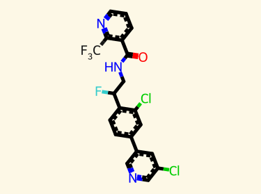 O=C(NCC(F)c1ccc(-c2cncc(Cl)c2)cc1Cl)c1cccnc1C(F)(F)F